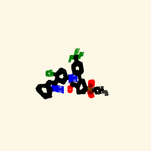 CS(=O)(=O)c1ccc(C(=O)Nc2ccc(Cl)c(-c3cc4ccccc4[nH]3)c2)c(-c2ccc(C(F)(F)F)cc2)c1